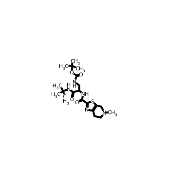 CN1CCc2nc(C(=O)NC(CNC(=O)OC(C)(C)C)C(=O)NC(C)(C)C)sc2C1